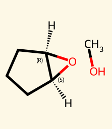 C1C[C@@H]2O[C@@H]2C1.CO